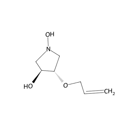 C=CCO[C@H]1CN(O)C[C@@H]1O